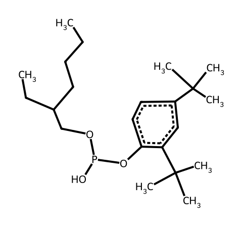 CCCCC(CC)COP(O)Oc1ccc(C(C)(C)C)cc1C(C)(C)C